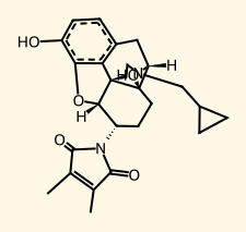 CC1=C(C)C(=O)N([C@H]2CC[C@@]3(O)[C@H]4Cc5ccc(O)c6c5[C@@]3(CCN4CC3CC3)[C@H]2O6)C1=O